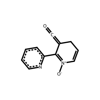 O=C=C1CC=C[N+]([O-])=C1c1ccccn1